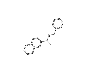 CC(SCc1ccccc1)c1ccc2ccccc2c1